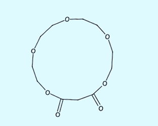 O=C1CC(=O)OCCOCCOCCOCCO1